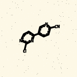 N#Cc1ccc(-c2ccnc(Cl)n2)cn1